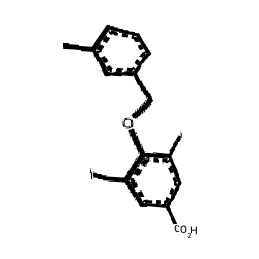 Cc1cccc(COc2c(I)cc(C(=O)O)cc2I)c1